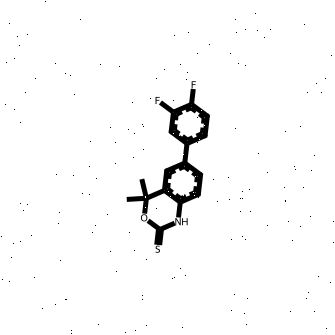 CC1(C)OC(=S)Nc2ccc(-c3ccc(F)c(F)c3)cc21